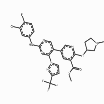 COC(=O)c1cc(-c2cnc(Nc3ccc(F)c(Cl)c3)nc2-n2ccc(C(F)(F)F)n2)cnc1OC1CCN(C)C1